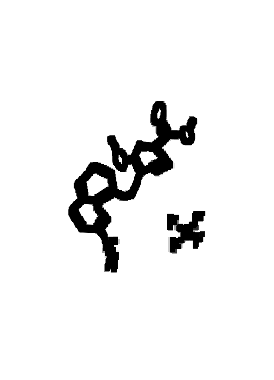 COC(=O)c1ccc(Cc2cccc3ccc([N+]#N)cc23)c(OC)c1.F[B-](F)(F)F